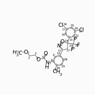 COCCOC(=O)Nc1cc(C2=NOC(c3cc(Cl)cc(Cl)c3)(C(F)(F)F)C2)ccc1C